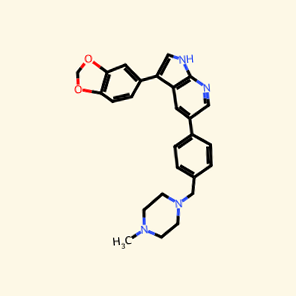 CN1CCN(Cc2ccc(-c3cnc4[nH]cc(-c5ccc6c(c5)OCO6)c4c3)cc2)CC1